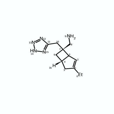 CCC1=CC2[C@H](C1)C[C@]2(CN)Cc1nn[nH]n1